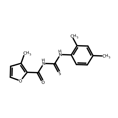 Cc1ccc(NC(=S)NC(=O)c2occc2C)c(C)c1